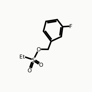 CCS(=O)(=O)OCc1cccc(F)c1